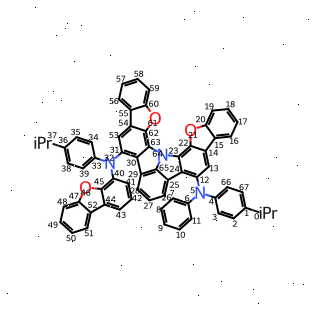 CC(C)c1ccc(N(c2ccccc2)c2cc3c4ccccc4oc3c3c2c2cccc4c5c(N(c6ccc(C(C)C)cc6)c6cccc7c6oc6ccccc67)cc6c7ccccc7oc6c5n3c24)cc1